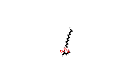 C=C(CC1CO1)C(=O)OOCCCCCCCCCCCC